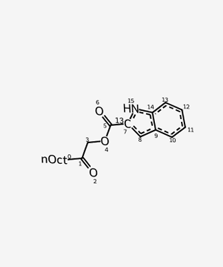 CCCCCCCCC(=O)COC(=O)[13c]1cc2ccccc2[nH]1